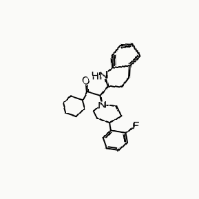 O=C(C1CCCCC1)C(C1CCc2ccccc2N1)N1CCC(c2ccccc2F)CC1